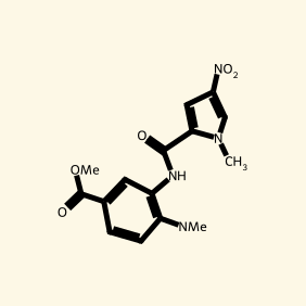 CNc1ccc(C(=O)OC)cc1NC(=O)c1cc([N+](=O)[O-])cn1C